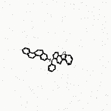 c1ccc(N(c2ccc3c(ccc4c5ccccc5ccc34)c2)c2cccc3c2ccc2c4ccccc4oc32)cc1